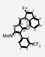 CNC1=C(c2cccc(C(F)(F)F)c2)C(=O)C(=CC2C(F)=Cc3ccccc32)S1